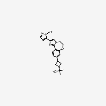 CC(C)n1ncnc1-c1cn2c(n1)-c1ccc(C3CN(C(C)(C)C#N)C3)cc1OCC2